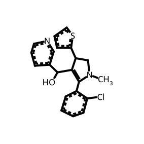 CN1CC(c2cccs2)C(C(O)c2cccnc2)=C1c1ccccc1Cl